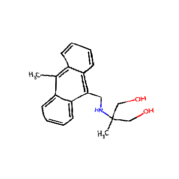 Cc1c2ccccc2c(CNC(C)(CO)CO)c2ccccc12